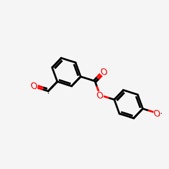 [O]c1ccc(OC(=O)c2cccc([C]=O)c2)cc1